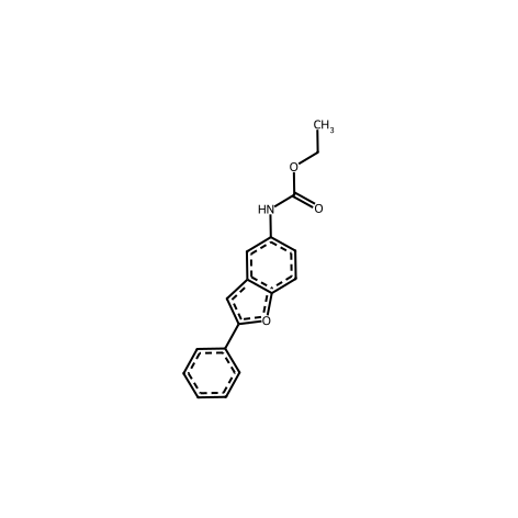 CCOC(=O)Nc1ccc2oc(-c3ccccc3)cc2c1